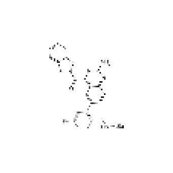 CC(C)(C)NCc1ccc(F)cc1-c1ccc2nc(N)nc(C(=O)N3Cc4ccccc4C3)c2c1